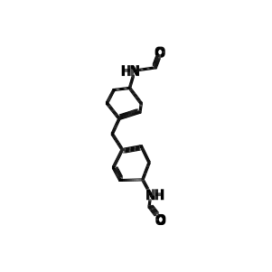 O=CNC1C=CC(CC2=CCC(NC=O)CC2)=CC1